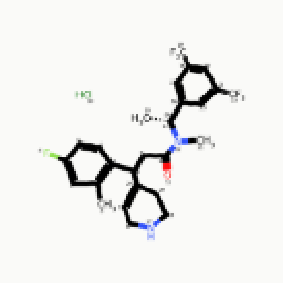 Cc1cc(F)ccc1C(CC(=O)N(C)[C@H](C)c1cc(C(F)(F)F)cc(C(F)(F)F)c1)C1=CCNCC1.Cl